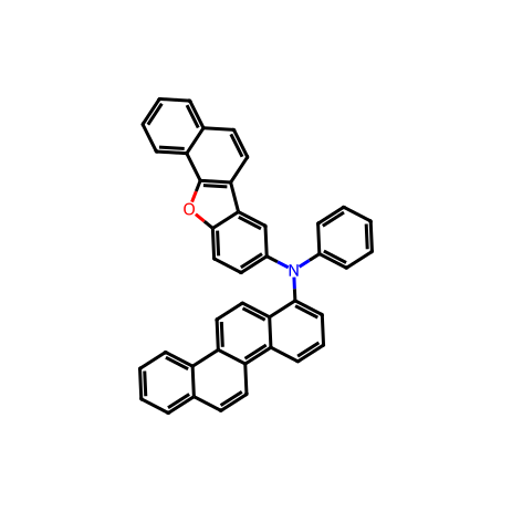 c1ccc(N(c2ccc3oc4c5ccccc5ccc4c3c2)c2cccc3c2ccc2c4ccccc4ccc32)cc1